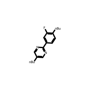 CCCCc1cnc(-c2ccc(CCCC)c(F)c2)nc1